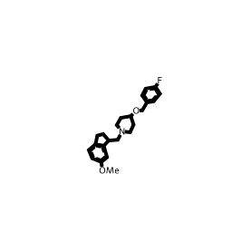 COc1ccc2c(c1)C(CN1CCC(OCc3ccc(F)cc3)CC1)CC2